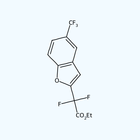 CCOC(=O)C(F)(F)c1cc2cc(C(F)(F)F)ccc2o1